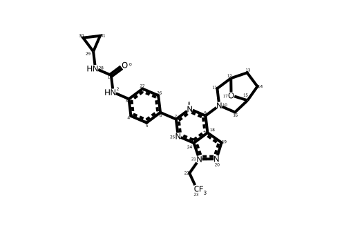 O=C(Nc1ccc(-c2nc(N3CC4CCC(C3)O4)c3cnn(CC(F)(F)F)c3n2)cc1)NC1CC1